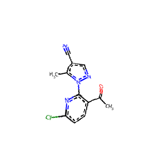 CC(=O)c1ccc(Cl)nc1-n1ncc(C#N)c1C